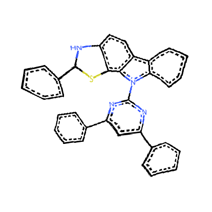 c1ccc(-c2cc(-c3ccccc3)nc(-n3c4ccccc4c4ccc5c(c43)SC(c3ccccc3)N5)n2)cc1